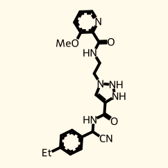 CCc1ccc(C(C#N)NC(=O)C2=CN(CCNC(=O)c3ncccc3OC)NN2)cc1